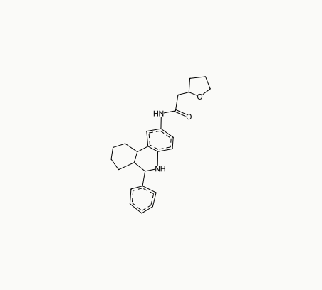 O=C(CC1CCCO1)Nc1ccc2c(c1)C1CCCCC1C(c1ccccc1)N2